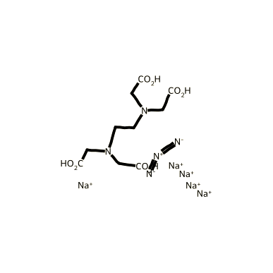 O=C(O)CN(CCN(CC(=O)O)CC(=O)O)CC(=O)O.[N-]=[N+]=[N-].[Na+].[Na+].[Na+].[Na+].[Na+]